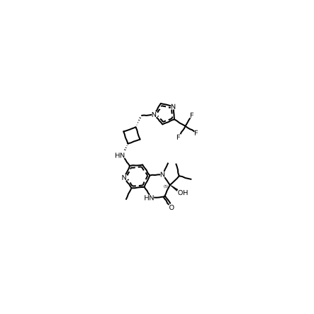 Cc1nc(N[C@H]2C[C@@H](Cn3cnc(C(F)(F)F)c3)C2)cc2c1NC(=O)[C@@](O)(C(C)C)N2C